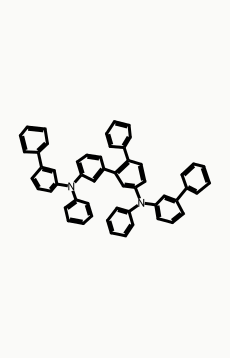 c1ccc(-c2cccc(N(c3ccccc3)c3cccc(-c4cc(N(c5ccccc5)c5cccc(-c6ccccc6)c5)ccc4-c4ccccc4)c3)c2)cc1